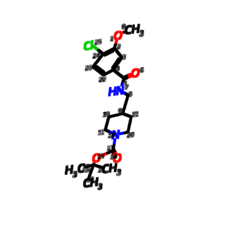 COc1cc(C(=O)NCC2CCN(C(=O)OC(C)(C)C)CC2)ccc1Cl